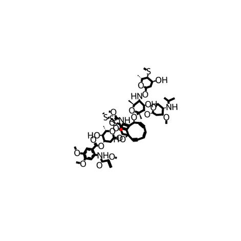 C=C(OC)C(=O)Nc1cc(OC)c(OC)cc1C(=O)O[C@H]1CC(O[C@@H]2C(=O)C(NC(=O)OC)=C3/C(=C\CSSSC)[C@]2(O)C#C/C=C\C#C[C@@H]3O[C@]2(C)O[C@@H](C)[C@@H](NOC3C[C@H](O)[C@H](SC)[C@@H](C)O3)[C@H](O)[C@H]2O[C@H]2C[C@H](OC)[C@@H](NC(C)C)CO2)O[C@@H](C)[C@@H]1O